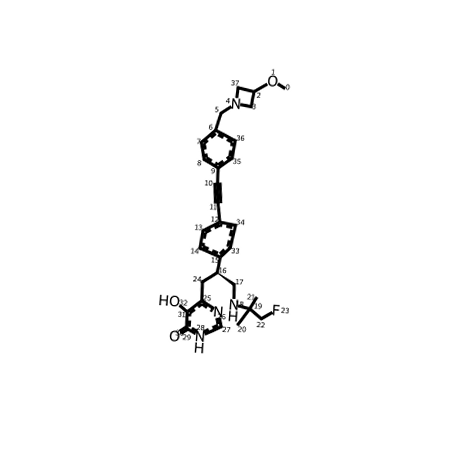 COC1CN(Cc2ccc(C#Cc3ccc([C@@H](CNC(C)(C)CF)Cc4nc[nH]c(=O)c4O)cc3)cc2)C1